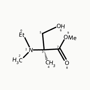 CCN(C)[C@@](C)(CO)C(=O)OC